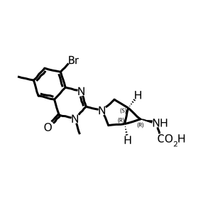 Cc1cc(Br)c2nc(N3C[C@@H]4[C@H](C3)[C@@H]4NC(=O)O)n(C)c(=O)c2c1